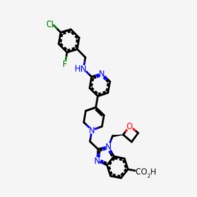 O=C(O)c1ccc2nc(CN3CC=C(c4ccnc(NCc5ccc(Cl)cc5F)c4)CC3)n(C[C@@H]3CCO3)c2c1